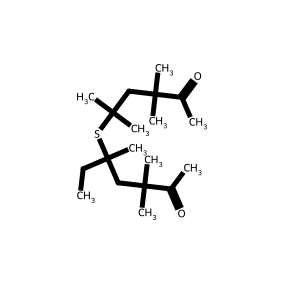 CCC(C)(CC(C)(C)C(C)=O)SC(C)(C)CC(C)(C)C(C)=O